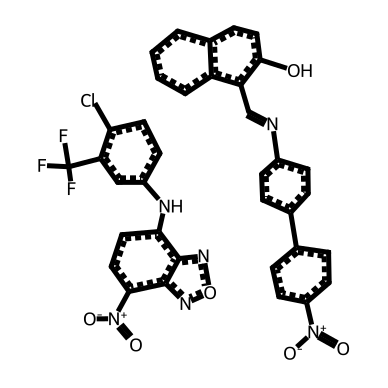 O=[N+]([O-])c1ccc(-c2ccc(N=Cc3c(O)ccc4ccccc34)cc2)cc1.O=[N+]([O-])c1ccc(Nc2ccc(Cl)c(C(F)(F)F)c2)c2nonc12